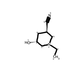 CCN1C[C@H](O)C[C@@H](C#N)C1